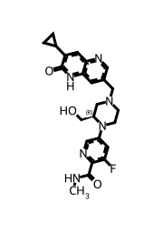 CNC(=O)c1ncc(N2CCN(Cc3cnc4cc(C5CC5)c(=O)[nH]c4c3)C[C@@H]2CO)cc1F